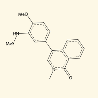 COc1ccc(-c2cn(C)c(=O)c3ccccc23)cc1NSC